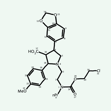 CCCN(CCN1CC(c2ccc3c(c2)OCO3)C(C(=O)O)C1c1ccc(OC)cc1)C(=O)OCCCl